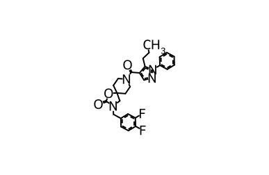 CCCc1c(C(=O)N2CCC3(CC2)CN(Cc2ccc(F)c(F)c2)C(=O)O3)cnn1-c1ccccc1